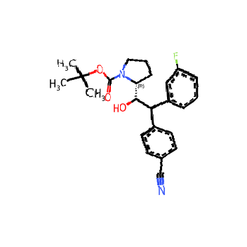 CC(C)(C)OC(=O)N1CCC[C@@H]1C(O)C(c1ccc(C#N)cc1)c1cccc(F)c1